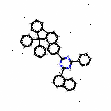 c1ccc(-c2nc(-c3ccc4c5c(ccc4c3)-c3ccccc3C5(c3ccccc3)c3ccccc3)nc(-c3cccc4ccccc34)n2)cc1